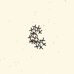 CC(C)(C)N(C(NCN(CN(CO)C(N(C(C)(C)C)C(C)(C)C)N(C(C)(C)C)C(C)(C)C)C(N(C(C)(C)C)C(C)(C)C)N(C(C)(C)C)C(C)(C)C)N(C(C)(C)C)C(C)(C)C)C(C)(C)C